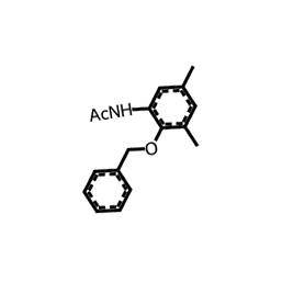 CC(=O)Nc1cc(C)cc(C)c1OCc1ccccc1